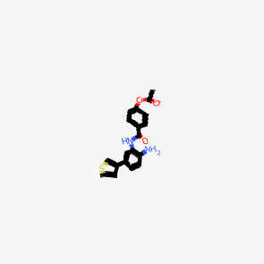 CC(=O)Oc1ccc(C(=O)Nc2cc(-c3ccsc3)ccc2N)cc1